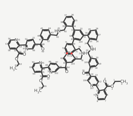 CCOC(=O)c1cccnc1-c1ccc(C(=O)c2cccc(CNCc3ccccc3-c3cc(-c4ccccc4CNCc4cccc(C(=O)c5ccc(-c6ncccc6C(=O)OCC)nc5)c4)cc(-c4ccccc4CNCc4cccc(C(=O)c5ccc(-c6ncccc6C(=O)OCC)nc5)c4)c3)c2)cn1